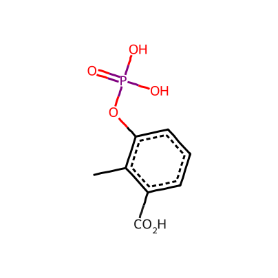 Cc1c(OP(=O)(O)O)cccc1C(=O)O